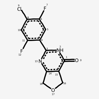 O=c1[nH]c(-c2cc(F)c(Cl)cc2F)nc2c1COC2